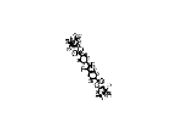 CC1(C)CC(OC(=O)C2CCC(/C(F)=C(\F)C3CCC(C(=O)OC4CC(C)(C)NC(C)(C)C4)CC3)CC2)CC(C)(C)N1